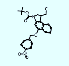 CC(C)(C)OC(=O)N1CC(CCl)c2c1cc(OCc1ccc([N+](=O)[O-])cc1)c1ccccc21